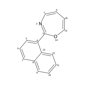 C1=CN=C(c2cccc3ccccc23)OC=C1